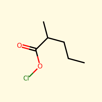 CCCC(C)C(=O)OCl